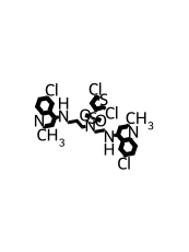 Cc1cc(NCCCN(CCNc2cc(C)nc3ccc(Cl)cc23)S(=O)(=O)c2cc(Cl)sc2Cl)c2cc(Cl)ccc2n1